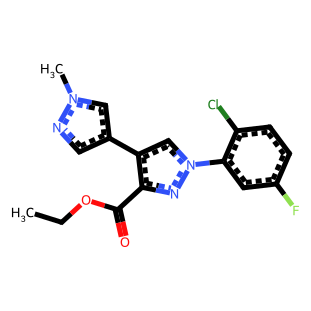 CCOC(=O)c1nn(-c2cc(F)ccc2Cl)cc1-c1cnn(C)c1